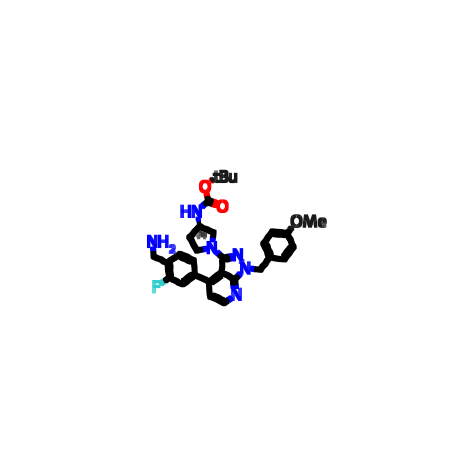 COc1ccc(Cn2nc(N3CC[C@@H](NC(=O)OC(C)(C)C)C3)c3c(-c4ccc(CN)c(F)c4)ccnc32)cc1